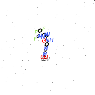 CC(C)(C)OC(=O)N1CC2(C1)CN(c1ccc(NC(=O)c3cnn4ccc(N5C[C@@H](F)C[C@@H]5c5cc(F)ccc5F)nc34)cc1)C2